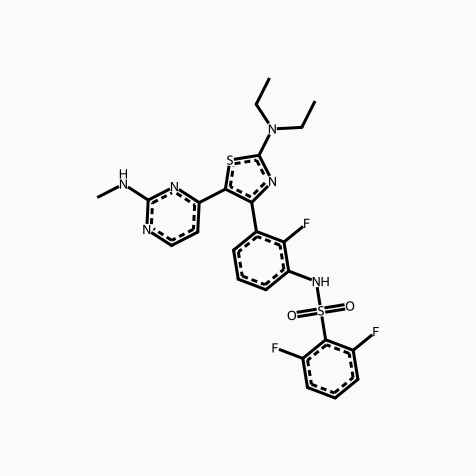 CCN(CC)c1nc(-c2cccc(NS(=O)(=O)c3c(F)cccc3F)c2F)c(-c2ccnc(NC)n2)s1